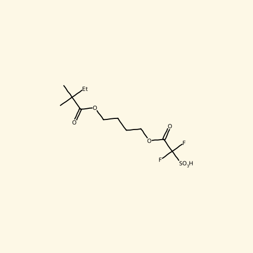 CCC(C)(C)C(=O)OCCCCOC(=O)C(F)(F)S(=O)(=O)O